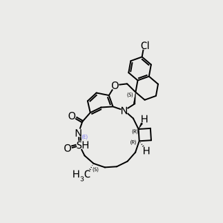 C[C@H]1CCCC[C@@H]2CC[C@H]2CN2C[C@@]3(CCCc4cc(Cl)ccc43)COc3ccc(cc32)C(=O)/N=[SH](=O)\C1